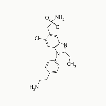 CCc1nc2cc(CS(N)(=O)=O)c(Cl)cc2n1-c1ccc(CCN)cc1